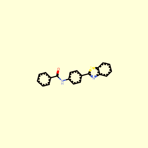 O=C(Nc1ccc(-c2nc3ccccc3s2)cc1)c1ccccc1